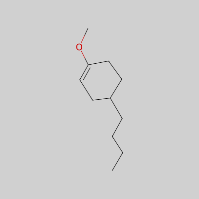 CCCCC1CC=C(OC)CC1